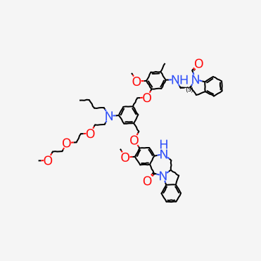 CCCCN(CCOCCOCCOC)c1cc(COc2cc(NC[C@@H]3Cc4ccccc4N3C=O)c(C)cc2OC)cc(COc2cc3c(cc2OC)C(=O)N2c4ccccc4CC2CN3)c1